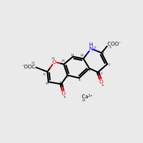 O=C([O-])c1cc(=O)c2cc3c(=O)cc(C(=O)[O-])oc3cc2[nH]1.[Ca+2]